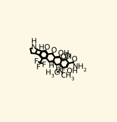 CN(C)[C@@H]1C(O)=C(C(N)=O)C(=O)[C@@]2(O)C(O)=C3C(=O)c4c(O)c5c(c(C(F)(F)F)c4C[C@H]3C[C@@H]12)C1CCNC51